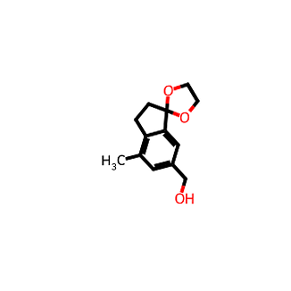 Cc1cc(CO)cc2c1CCC21OCCO1